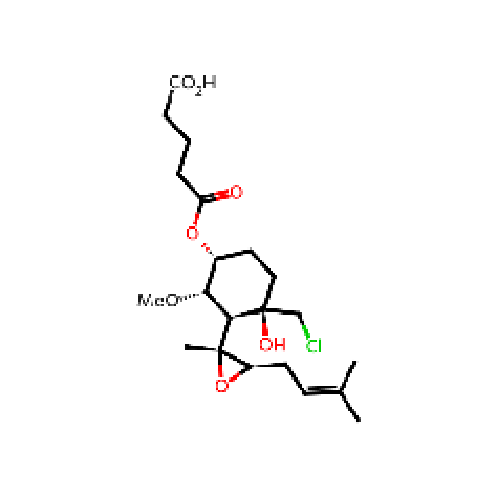 CO[C@@H]1[C@H](OC(=O)CCCC(=O)O)CC[C@](O)(CCl)[C@H]1[C@@]1(C)O[C@@H]1CC=C(C)C